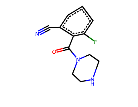 N#Cc1cccc(F)c1C(=O)N1CCNCC1